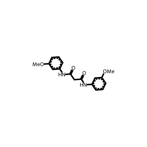 COc1cccc(NC(=O)CC(=O)Nc2cccc(OC)c2)c1